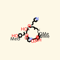 CO[C@H]1C[C@@H](C)C/C(C)=C/[C@@H](CCCc2ccncc2)C(=O)C[C@H](O)[C@@H](C)[C@@H](/C(C)=C/[C@@H]2CC[C@@H](O)[C@H](OC)C2)OC(=O)[C@@H]2CCCCN2C(=O)C(=O)[C@]2(O)O[C@H]1[C@@H](OC)C[C@H]2C